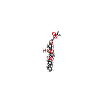 C=C(C)C(=O)OCCCCOc1ccc(C(O)OC2=CC=C(OC(=O)c3ccc(-c4ccccc4)cc3)CC2)cc1